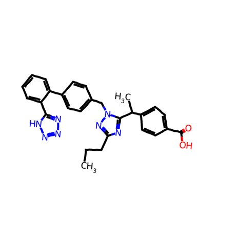 CCCc1nc(C(C)c2ccc(C(=O)O)cc2)n(Cc2ccc(-c3ccccc3-c3nnn[nH]3)cc2)n1